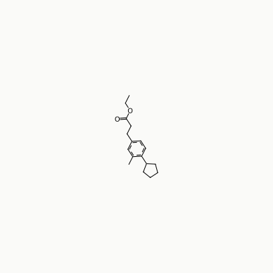 CCOC(=O)CCc1ccc(C2CCCC2)c(C)c1